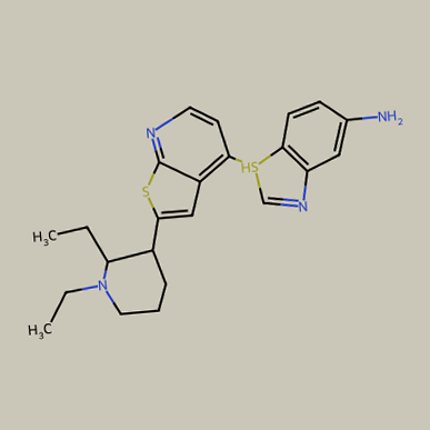 CCC1C(c2cc3c([SH]4C=Nc5cc(N)ccc54)ccnc3s2)CCCN1CC